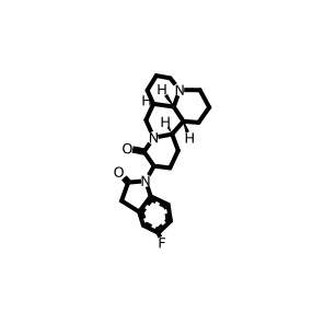 O=C1Cc2cc(F)ccc2N1C1CC[C@@H]2[C@H]3CCCN4CCC[C@H](CN2C1=O)[C@@H]34